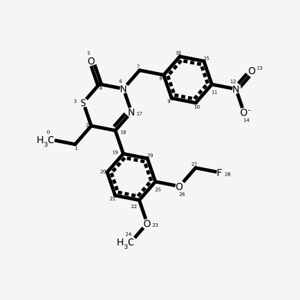 CCC1SC(=O)N(Cc2ccc([N+](=O)[O-])cc2)N=C1c1ccc(OC)c(OCF)c1